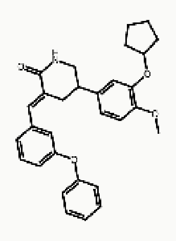 COc1ccc(C2CNC(=O)C(=Cc3cccc(Oc4ccccc4)c3)C2)cc1OC1CCCC1